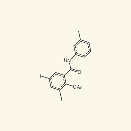 CC(=O)Oc1c(I)cc(I)cc1C(=O)Nc1cccc(C)c1